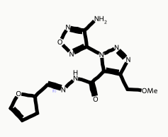 COCc1nnn(-c2nonc2N)c1C(=O)N/N=C/C1CC=CO1